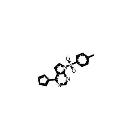 Cc1ccc(S(=O)(=O)n2ccc3c(C4=C=CC=C4)ncnc32)cc1